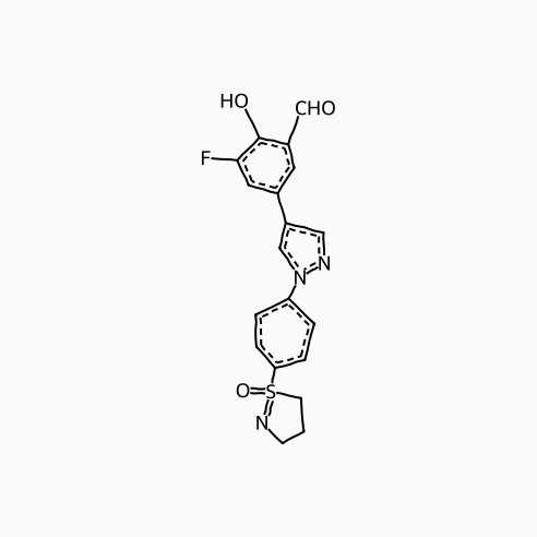 O=Cc1cc(-c2cnn(-c3ccc(S4(=O)=NCCC4)cc3)c2)cc(F)c1O